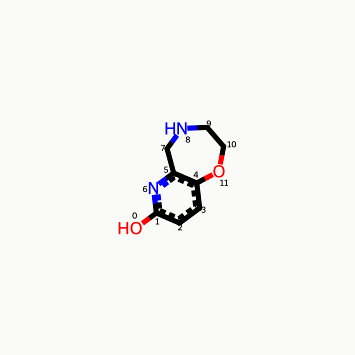 Oc1ccc2c(n1)CNCCO2